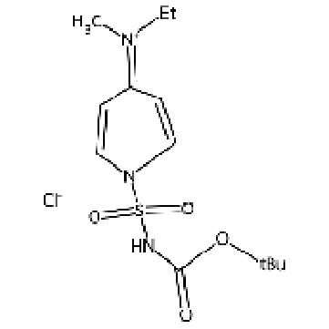 CC[N+](C)=c1ccn(S(=O)(=O)NC(=O)OC(C)(C)C)cc1.[Cl-]